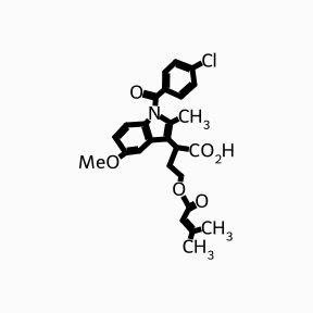 COc1ccc2c(c1)c(C(CCOC(=O)C=C(C)C)C(=O)O)c(C)n2C(=O)c1ccc(Cl)cc1